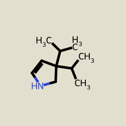 CC(C)C1(C(C)C)C=CNC1